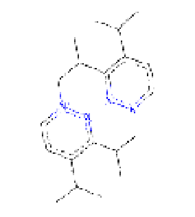 CC(C)c1cc[n+](CC(C)c2nnccc2C(C)C)nc1C(C)C